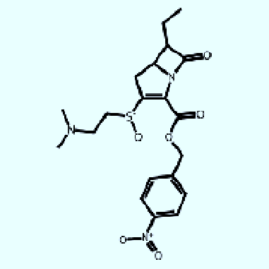 CCC1C(=O)N2C(C(=O)OCc3ccc([N+](=O)[O-])cc3)=C([S+]([O-])CCN(C)C)CC12